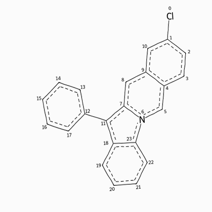 Clc1ccc2cn3c(cc2c1)c(-c1ccccc1)c1ccccc13